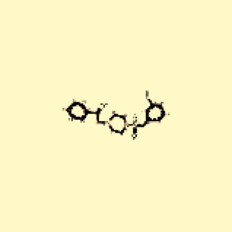 O=C(CN1CCN(S(=O)(=O)Cc2cccc(F)c2)CC1)c1ccccc1